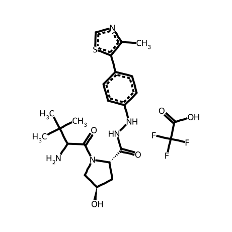 Cc1ncsc1-c1ccc(NNC(=O)[C@@H]2C[C@@H](O)CN2C(=O)C(N)C(C)(C)C)cc1.O=C(O)C(F)(F)F